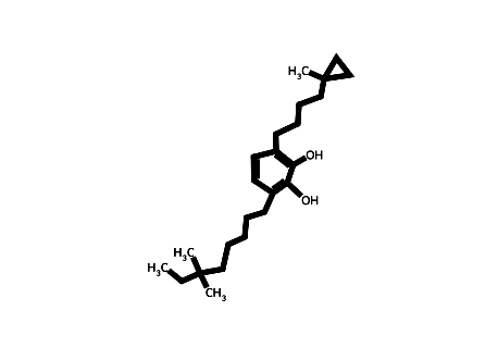 CCC(C)(C)CCCCCc1ccc(CCCCC2(C)CC2)c(O)c1O